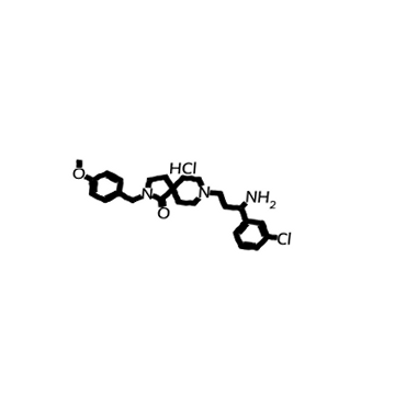 COc1ccc(CN2CCC3(CCN(CCC(N)c4cccc(Cl)c4)CC3)C2=O)cc1.Cl